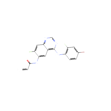 C=CC(=O)Nc1cc2c(Nc3ccc(Br)cc3F)ncnc2cc1F